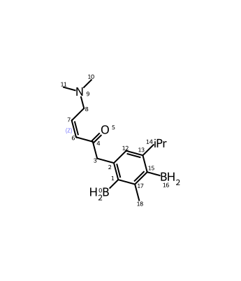 Bc1c(CC(=O)/C=C\CN(C)C)cc(C(C)C)c(B)c1C